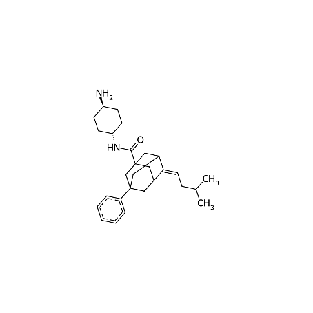 CC(C)CC=C1C2CC3(C(=O)N[C@H]4CC[C@H](N)CC4)CC1CC(c1ccccc1)(C2)C3